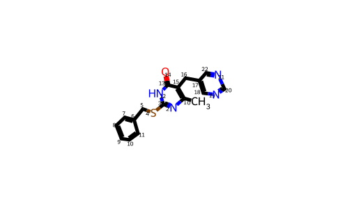 Cc1nc(SCc2ccccc2)[nH]c(=O)c1Cc1cncnc1